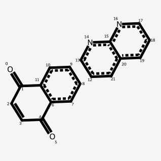 O=C1C=CC(=O)c2ccccc21.c1cnc2ncccc2c1